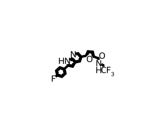 O=C(NCC(F)(F)F)c1ccc(-c2cnc3[nH]c(-c4ccc(F)cc4)cc3c2)o1